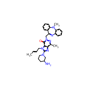 C/C=C/Cn1c(N2CCCC(N)C2)nc2c(C)nn(CC3=Nc4ccccc4N(C)c4ccccc43)c(=O)c21